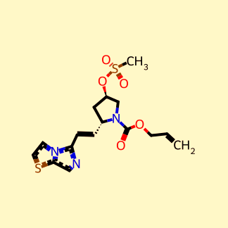 C=CCOC(=O)N1C[C@H](OS(C)(=O)=O)C[C@H]1/C=C/c1ncc2sccn12